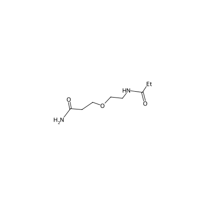 CCC(=O)NCCOCCC(N)=O